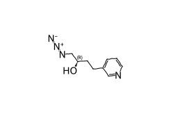 [N-]=[N+]=NC[C@H](O)CCc1cccnc1